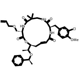 C=CCOC[C@@H]1NC(=O)C(C)(C)CNC(=O)[C@@H](Cc2ccc(OC)c(Cl)c2)NC(=O)/C=C/C[C@@H]([C@H](C)O[C@@H](C)c2ccccc2)OC1=O